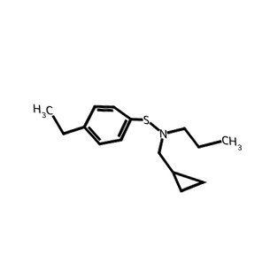 CCCN(CC1CC1)Sc1ccc(CC)cc1